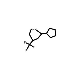 FC(F)(F)C1CCNC(C2CCCC2)C1